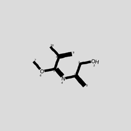 C=C(CO)/N=C(/OC)C(=C)C